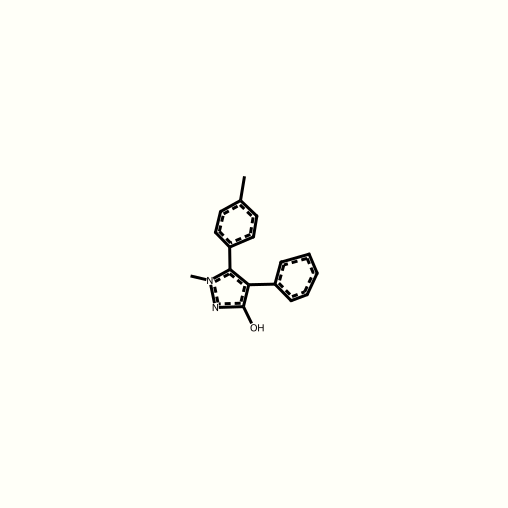 Cc1ccc(-c2c(-c3ccccc3)c(O)nn2C)cc1